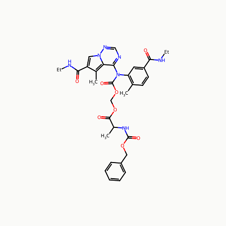 CCNC(=O)c1ccc(C)c(N(C(=O)OCOC(=O)C(C)NC(=O)OCc2ccccc2)c2ncnn3cc(C(=O)NCC)c(C)c23)c1